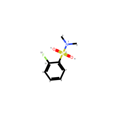 CN(C)S(=O)(=O)c1c[c]ccc1F